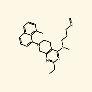 C=NCCCN(C)c1nc(CC)nc2c1CCN(c1cccc3cccc(C)c13)C2